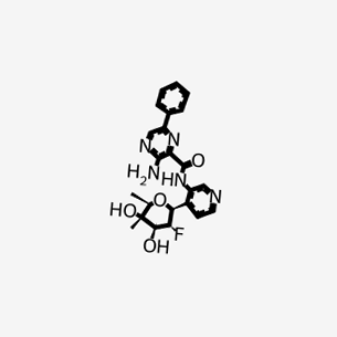 C[C@H]1O[C@@H](c2ccncc2NC(=O)c2nc(-c3ccccc3)cnc2N)[C@H](F)[C@@H](O)[C@]1(C)O